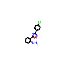 Nc1ccccc1-c1nc(-c2ccc(Cl)cc2)no1